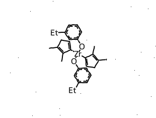 CCc1cccc([O][Zr]([O]c2cccc(CC)c2)([C]2=CCC(C)=C2C)[C]2=CCC(C)=C2C)c1